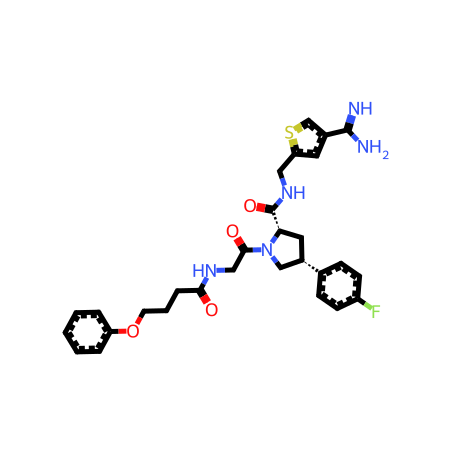 N=C(N)c1csc(CNC(=O)[C@@H]2C[C@H](c3ccc(F)cc3)CN2C(=O)CNC(=O)CCCOc2ccccc2)c1